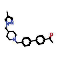 CC(=O)c1ccc(-c2ccc(CN3CCC(Cn4cc(C)cn4)CC3)cc2)cc1